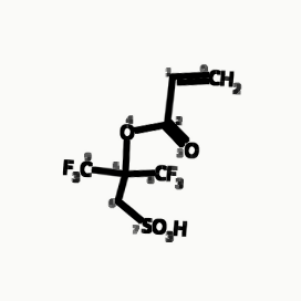 C=CC(=O)OC(CS(=O)(=O)O)(C(F)(F)F)C(F)(F)F